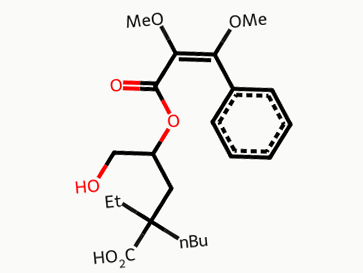 CCCCC(CC)(CC(CO)OC(=O)C(OC)=C(OC)c1ccccc1)C(=O)O